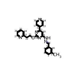 Cc1cccc(/C=N/Nc2cc(-c3ccncc3)nc(OCCc3ccccn3)n2)c1